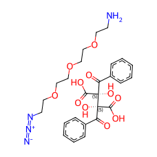 O=C(O)[C@@](O)(C(=O)c1ccccc1)[C@@](O)(C(=O)O)C(=O)c1ccccc1.[N-]=[N+]=NCCOCCOCCOCCN